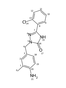 Cc1cc(Cn2nc(-c3ccccc3Cl)[nH]c2=O)ccc1N